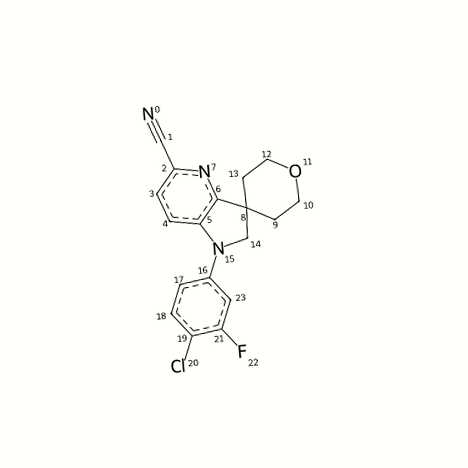 N#Cc1ccc2c(n1)C1(CCOCC1)CN2c1ccc(Cl)c(F)c1